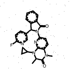 CC1C(=O)N(C)c2ccc(N3C(=O)c4ccccc4C3c3ccc(F)nc3)nc2N1C1CC1